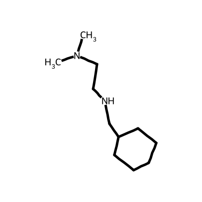 CN(C)CCNCC1CCCCC1